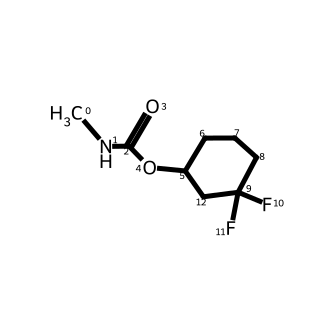 CNC(=O)OC1CCCC(F)(F)C1